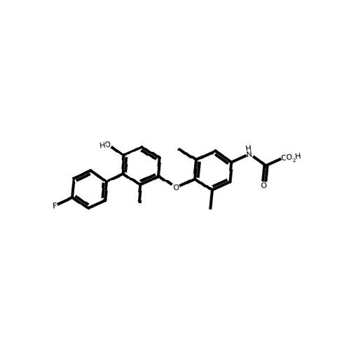 Cc1cc(NC(=O)C(=O)O)cc(C)c1Oc1ccc(O)c(-c2ccc(F)cc2)c1C